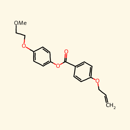 C=CCOc1ccc(C(=O)Oc2ccc(OCCOC)cc2)cc1